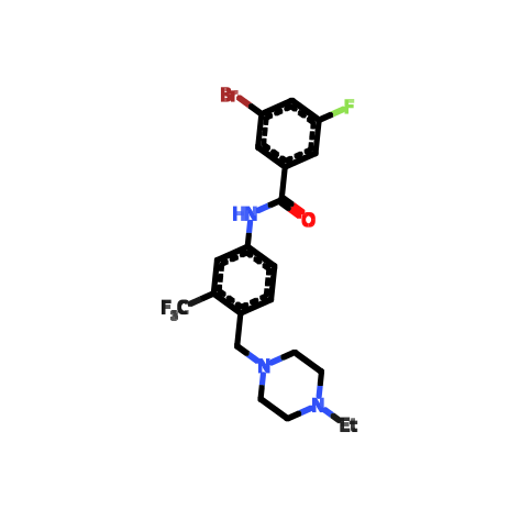 CCN1CCN(Cc2ccc(NC(=O)c3cc(F)cc(Br)c3)cc2C(F)(F)F)CC1